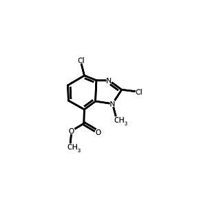 COC(=O)c1ccc(Cl)c2nc(Cl)n(C)c12